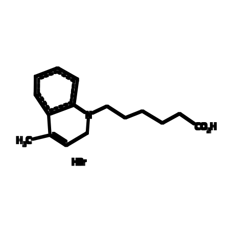 Br.CC1=CCN(CCCCCC(=O)O)c2ccccc21